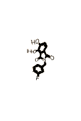 O=C1c2ccc(O)c(O)c2C(=O)N1Cc1cccc(F)c1